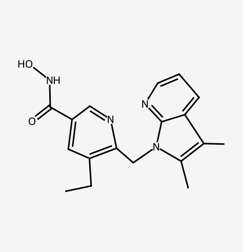 CCc1cc(C(=O)NO)cnc1Cn1c(C)c(C)c2cccnc21